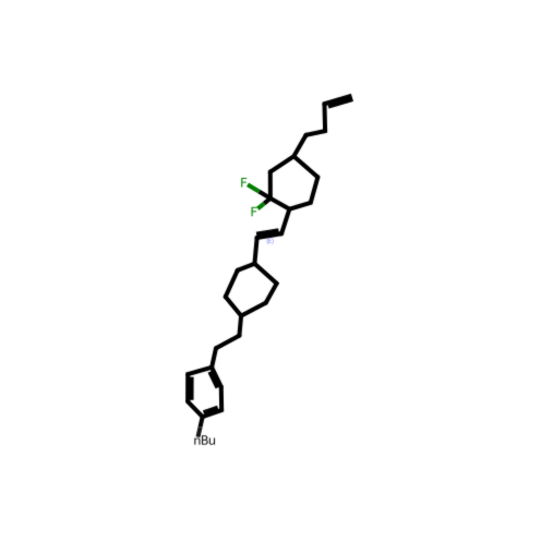 C=CCCC1CCC(/C=C/C2CCC(CCc3ccc(CCCC)cc3)CC2)C(F)(F)C1